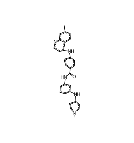 Cc1ccc2c(Nc3ccc(C(=O)Nc4cccc(Nc5cc[n+](C)cc5)c4)cc3)ccnc2c1